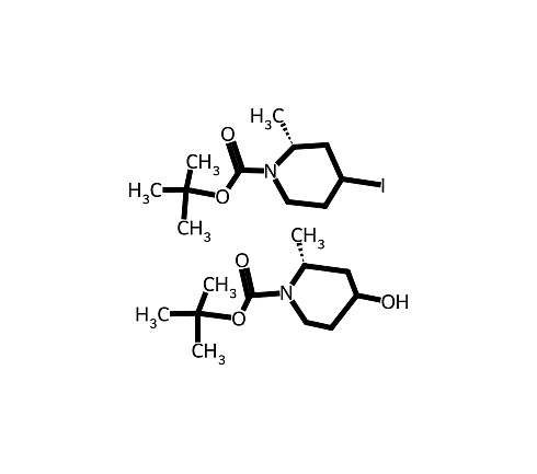 C[C@@H]1CC(I)CCN1C(=O)OC(C)(C)C.C[C@@H]1CC(O)CCN1C(=O)OC(C)(C)C